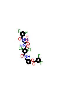 O=C(NCc1cccc(OC(=O)c2cc(F)cc(F)c2)c1)c1cc(Cl)c(C(=O)N[C@@H](CNC(=O)c2cc(F)cc(F)c2)C(=O)O)c(Cl)c1